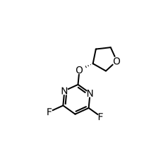 Fc1cc(F)nc(O[C@@H]2CCOC2)n1